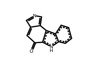 O=C1C=C2C=NC=C2c2c1[nH]c1ccccc21